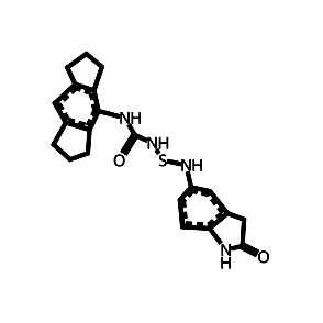 O=C1Cc2cc(NSNC(=O)Nc3c4c(cc5c3CCC5)CCC4)ccc2N1